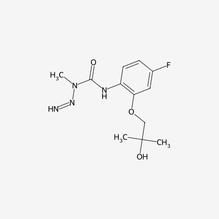 CN(N=N)C(=O)Nc1ccc(F)cc1OCC(C)(C)O